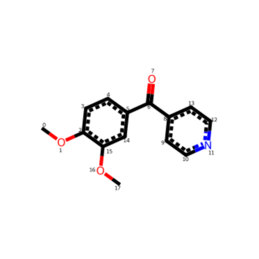 COc1ccc(C(=O)c2ccncc2)cc1OC